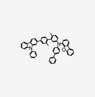 Cc1cc(-c2ccc3c4ccccc4n(-c4ccccc4)c3c2)ccc1-c1cc(N(c2ccc(-c3ccccc3)cc2)c2cccc3c2oc2ccccc23)ccc1C